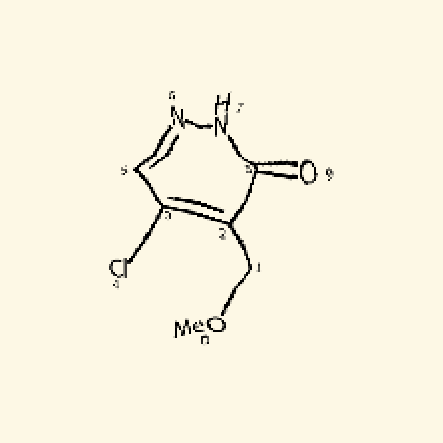 COCc1c(Cl)cn[nH]c1=O